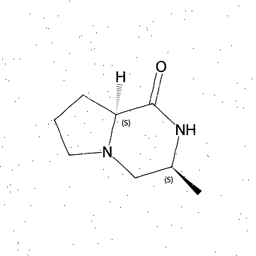 C[C@H]1CN2CCC[C@H]2C(=O)N1